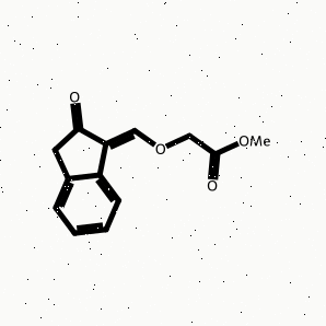 COC(=O)CO/C=C1/C(=O)Cc2ccccc21